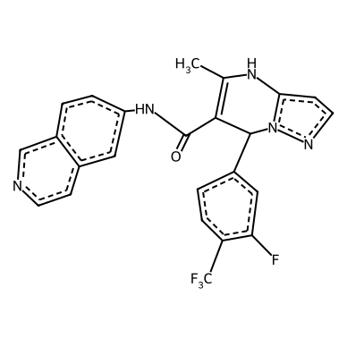 CC1=C(C(=O)Nc2ccc3cnccc3c2)C(c2ccc(C(F)(F)F)c(F)c2)n2nccc2N1